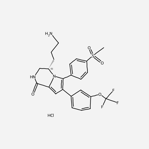 CS(=O)(=O)c1ccc(-c2c(-c3cccc(OC(F)(F)F)c3)cc3n2[C@@H](CCCN)CNC3=O)cc1.Cl